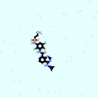 CCCS(=O)(=O)Nc1cc(F)c(F)c(NC(=O)c2cccc3c(NC4CC4)ncnc23)c1F